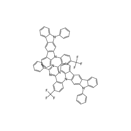 FC(F)(F)c1ccc(-n2c3ccccc3c3cc4c5ccccc5n(-c5ccccc5)c4cc32)c(-c2nc(-c3ccccc3)nc(-c3cc(C(F)(F)F)ccc3-n3c4ccccc4c4cc5c6ccccc6n(-c6ccccc6)c5cc43)n2)c1